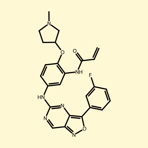 C=CC(=O)Nc1cc(Nc2ncc3noc(-c4cccc(F)c4)c3n2)ccc1OC1CCN(C)C1